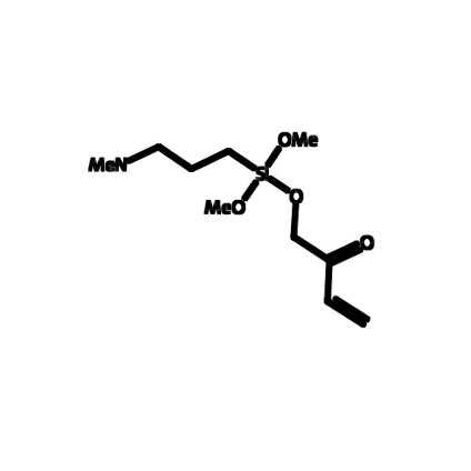 C=CC(=O)CO[Si](CCCNC)(OC)OC